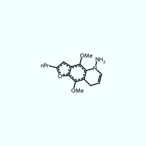 CCCc1cc2c(OC)c3c(c(OC)c2o1)CC=CN3N